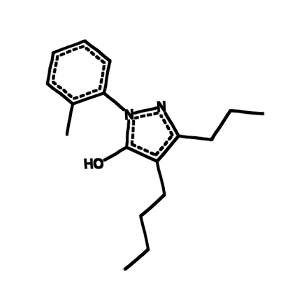 CCCCc1c(CCC)nn(-c2ccccc2C)c1O